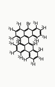 [2H]c1c([2H])c([2H])c2c(-c3c([2H])c4c([2H])c([2H])c([2H])c([2H])c4c4c([2H])c([2H])c([2H])c([2H])c34)c3c([2H])c([2H])c([2H])c([2H])c3c(Br)c2c1[2H]